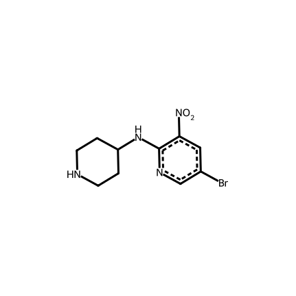 O=[N+]([O-])c1cc(Br)cnc1NC1CCNCC1